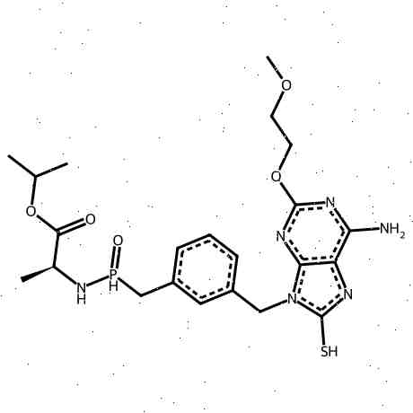 COCCOc1nc(N)c2nc(S)n(Cc3cccc(C[PH](=O)N[C@@H](C)C(=O)OC(C)C)c3)c2n1